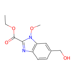 CCOC(=O)c1nc2ccc(CO)cc2n1OC